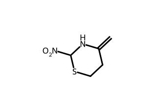 C=C1CCSC([N+](=O)[O-])N1